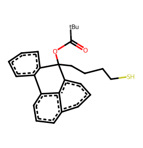 CC(C)(C)C(=O)OC1(CCCCS)c2ccccc2-c2cccc3cccc1c23